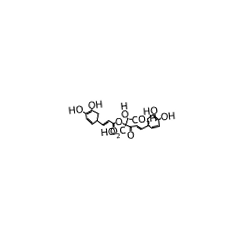 O=C(C=CC1C=CC(O)=C(O)C1)O[C@](C(=O)O)(C(=O)C=CC1C=CC(O)=C(O)C1)[C@@H](O)C(=O)O